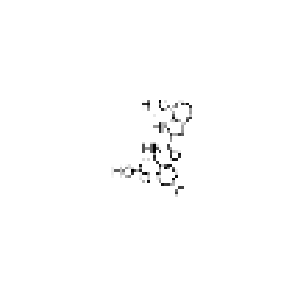 Cc1cccc2cc(C(=O)N[C@@H](CC(=O)O)c3ccc(Cl)cc3)[nH]c12